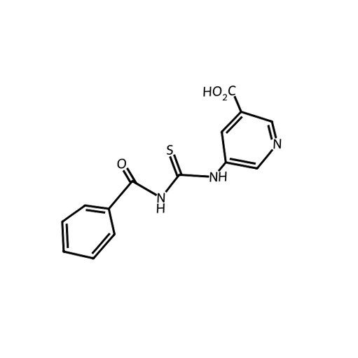 O=C(O)c1cncc(NC(=S)NC(=O)c2ccccc2)c1